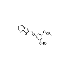 O=Cc1cc(OCc2cc3ccccc3s2)cc(OC(F)(F)F)c1